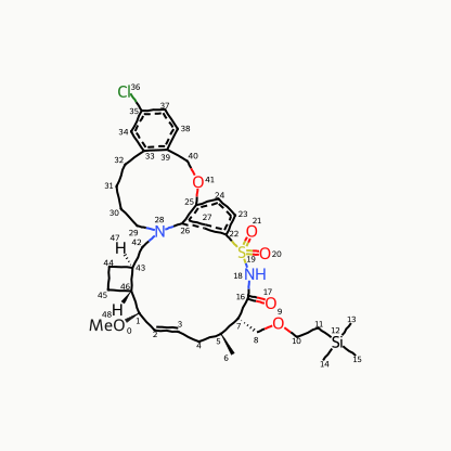 CO[C@@H]1/C=C/C[C@H](C)[C@@H](COCC[Si](C)(C)C)C(=O)NS(=O)(=O)c2ccc3c(c2)N(CCCCc2cc(Cl)ccc2CO3)C[C@@H]2CC[C@H]21